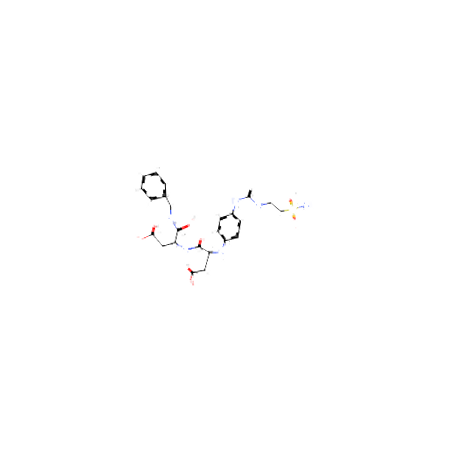 C=C(NCCS(N)(=O)=O)Nc1ccc(NC(CC(=O)O)C(=O)NC(CC(=O)O)C(=O)NCc2ccccc2)cc1